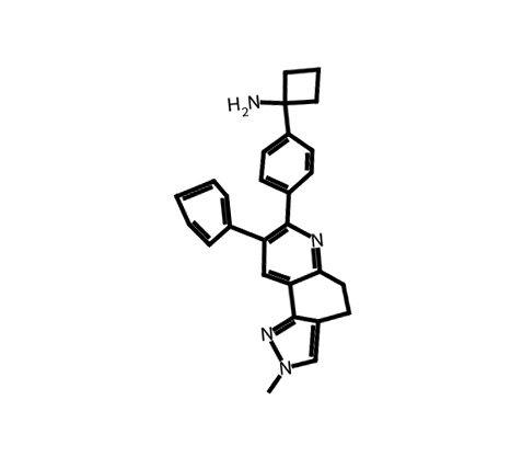 Cn1cc2c(n1)-c1cc(-c3ccccc3)c(-c3ccc(C4(N)CCC4)cc3)nc1CC2